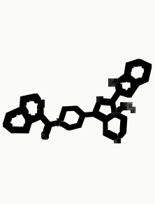 N[N+]12C=CN=CC1=C(C1CCN(C(=O)c3nccc4ccccc34)CC1)N=C2c1cc2ccccc2[nH]1